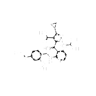 COc1ccc(CNc2nccc(NC(C)C)c2C(=N)c2noc(C3CC3)c2C(=O)O)c(OC)c1